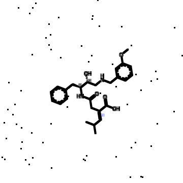 COc1cccc(CNC[C@@H](O)[C@H](Cc2ccccc2)NC(=O)C/C(=C\C(C)C)C(=O)O)c1